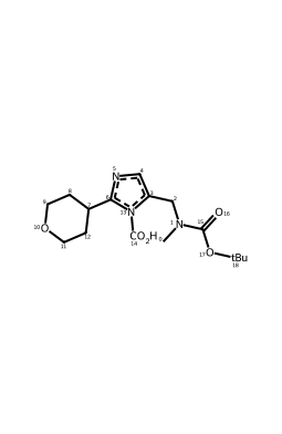 CN(Cc1cnc(C2CCOCC2)n1C(=O)O)C(=O)OC(C)(C)C